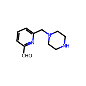 O=Cc1cccc(CN2CCNCC2)n1